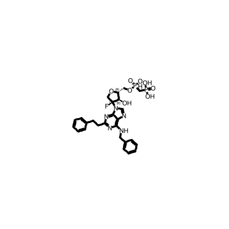 O=P(O)(O)CP(=O)(O)OC[C@H]1OC[C@@](F)(n2cnc3c(NCc4ccccc4)nc(CCc4ccccc4)nc32)[C@@H]1O